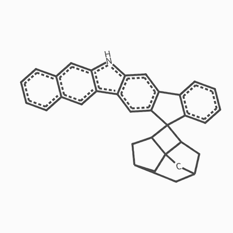 c1ccc2c(c1)-c1cc3[nH]c4cc5ccccc5cc4c3cc1C21C2CC3CC4CC1C2(C3)C4